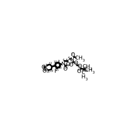 CC(=O)N(C[C@H]1CN(c2ccc(C3CCS(=O)(=O)CC3)c(F)c2)C(=O)O1)C(=O)OCOC(=O)C(C)(C)C